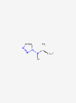 CCOC(=O)[C@H](C)N(C(C)=O)n1ccnn1